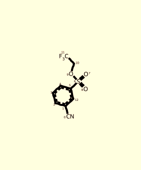 N#Cc1cccc(S(=O)(=O)OCC(F)(F)F)c1